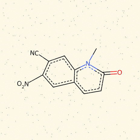 Cn1c(=O)ccc2cc([N+](=O)[O-])c(C#N)cc21